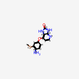 CSc1cc(Oc2ccnc3[nH]c(=O)[nH]c23)ccc1N